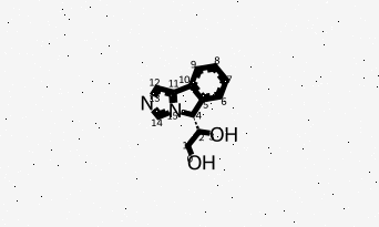 OCC(O)[C@H]1c2ccccc2-c2cncn21